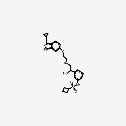 O=S(=O)(Nc1cccc(C(O)CNCCOc2ccc3c(C4CC4)n[nH]c3c2)c1)C1CCC1